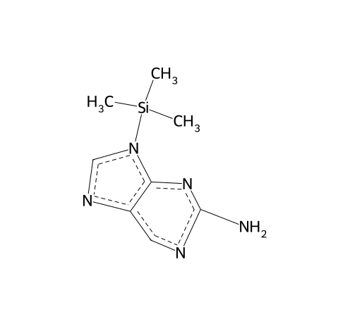 C[Si](C)(C)n1cnc2cnc(N)nc21